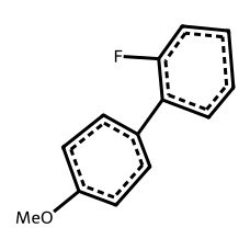 COc1ccc(-c2ccccc2F)cc1